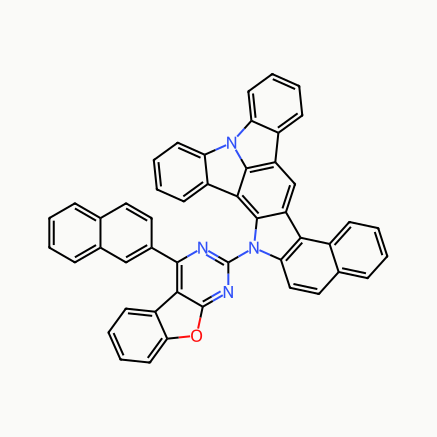 c1ccc2cc(-c3nc(-n4c5ccc6ccccc6c5c5cc6c7ccccc7n7c8ccccc8c(c54)c67)nc4oc5ccccc5c34)ccc2c1